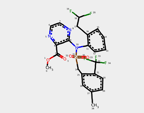 COC(=O)c1nccnc1N(c1ccccc1CC(F)F)S(=O)(=O)Cc1cc(C)ccc1C(F)(F)F